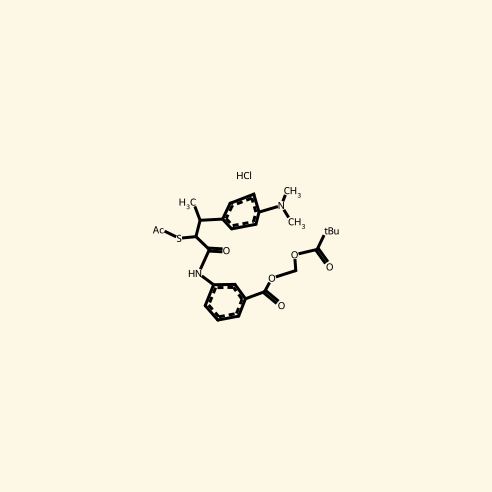 CC(=O)SC(C(=O)Nc1cccc(C(=O)OCOC(=O)C(C)(C)C)c1)C(C)c1ccc(N(C)C)cc1.Cl